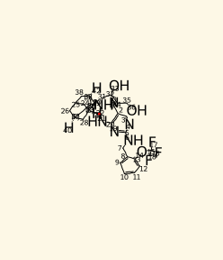 N#Cc1cnc(NCc2ccccc2OC(F)(F)F)nc1NC[C@]12CC3C[C@H](C1)[C@H](NCC(O)CCO)[C@@H](C3)C2